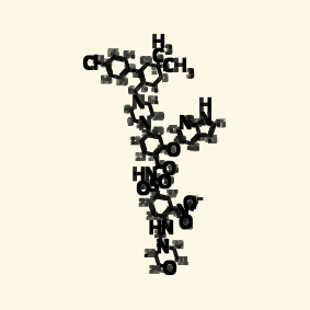 CC1(C)CCC(CN2CCN(c3ccc(C(=O)NS(=O)(=O)c4ccc(NCN5CCOCC5)c([N+](=O)[O-])c4)c(Oc4cnc5[nH]ccc5c4)c3)CC2)=C(c2ccc(Cl)cc2)C1